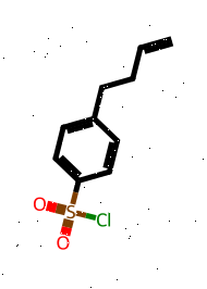 C=CCCc1ccc(S(=O)(=O)Cl)cc1